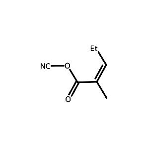 CCC=C(C)C(=O)OC#N